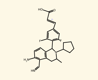 CC1Cc2c(ccc(N)c2C=N)C(c2c(F)cc(/C=C/C(=O)O)cc2F)N1C1CCCC1